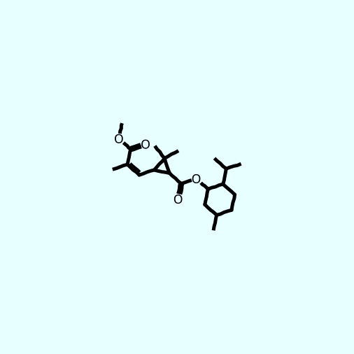 COC(=O)C(C)=CC1C(C(=O)OC2CC(C)CCC2C(C)C)C1(C)C